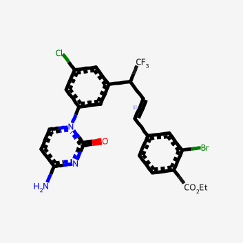 CCOC(=O)c1ccc(/C=C/C(c2cc(Cl)cc(-n3ccc(N)nc3=O)c2)C(F)(F)F)cc1Br